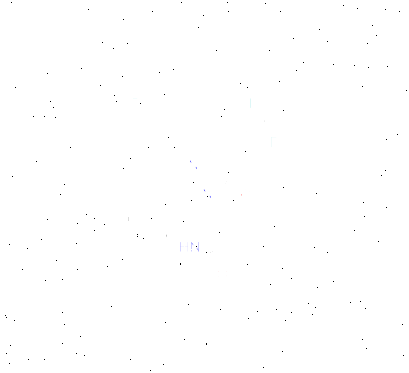 O=C1c2cc(C(F)(F)F)ccc2N2CN1c1ccc(=O)[nH]c1CCCCCCc1cc(F)ccc12